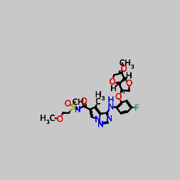 COCCS(C)(=O)=NC(=O)c1cn2ncnc(Nc3ccc(F)cc3O[C@@H]3CO[C@H]4[C@@H]3OC[C@H]4OC)c2c1C